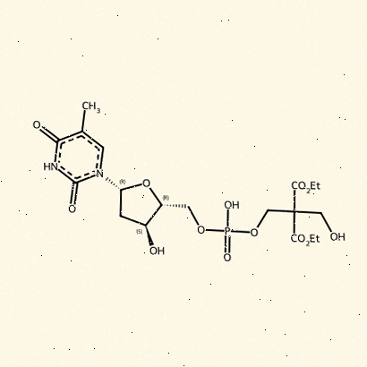 CCOC(=O)C(CO)(COP(=O)(O)OC[C@H]1O[C@@H](n2cc(C)c(=O)[nH]c2=O)C[C@@H]1O)C(=O)OCC